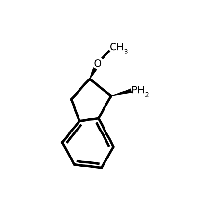 CO[C@@H]1Cc2ccccc2[C@@H]1P